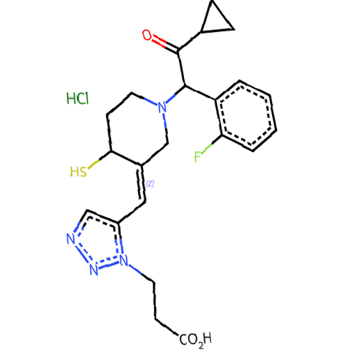 Cl.O=C(O)CCn1nncc1/C=C1/CN(C(C(=O)C2CC2)c2ccccc2F)CCC1S